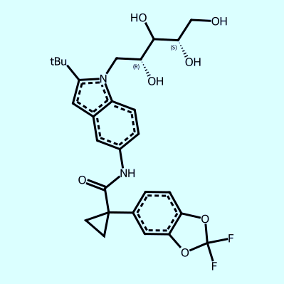 CC(C)(C)c1cc2cc(NC(=O)C3(c4ccc5c(c4)OC(F)(F)O5)CC3)ccc2n1C[C@@H](O)C(O)[C@@H](O)CO